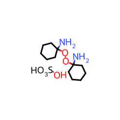 NC1(OOC2(N)CCCCC2)CCCCC1.O=S(=O)(O)O